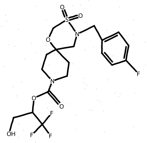 O=C(OC(CO)C(F)(F)F)N1CCC2(CC1)CN(Cc1ccc(F)cc1)S(=O)(=O)CO2